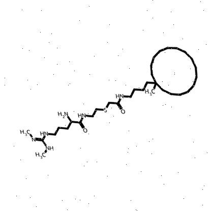 C/N=C(/NC)NCCCC(N)C(=O)NCCSCC(=O)NCCCCC1(C)CCCCCCCCCCCCCCC1